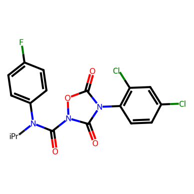 CC(C)N(C(=O)n1oc(=O)n(-c2ccc(Cl)cc2Cl)c1=O)c1ccc(F)cc1